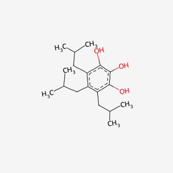 CC(C)Cc1c(O)c(O)c(O)c(CC(C)C)c1CC(C)C